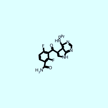 CCCNc1ncnc2[nH]cc(C(=O)c3c(F)ccc(C(N)=O)c3F)c12